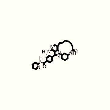 Nc1ncc2c3c1c(-c1ccc(C(=O)Nc4ccccn4)cc1)nn3[C@@H]1CCC[C@H](C1)NC(=O)CCCC/C=C/2